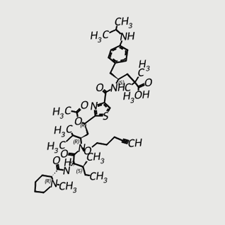 C#CCCCON(C(=O)[C@@H](NC(=O)[C@H]1CCCCN1C)[C@@H](C)CC)[C@H](C[C@@H](OC(C)=O)c1nc(C(=O)N[C@@H](Cc2ccc(NC(C)C)cc2)CC(C)(C)C(=O)O)cs1)C(C)C